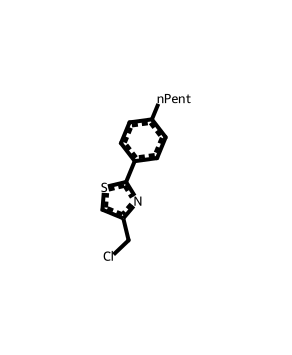 CCCCCc1ccc(-c2nc(CCl)cs2)cc1